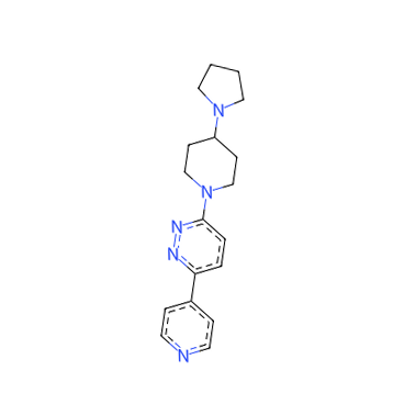 c1cc(-c2ccc(N3CCC(N4CCCC4)CC3)nn2)ccn1